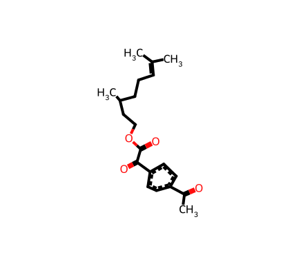 CC(=O)c1ccc(C(=O)C(=O)OCCC(C)CCC=C(C)C)cc1